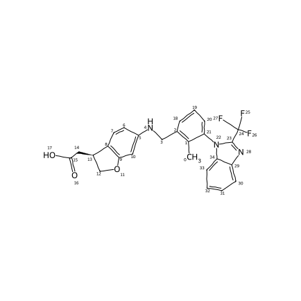 Cc1c(CNc2ccc3c(c2)OC[C@H]3CC(=O)O)cccc1-n1c(C(F)(F)F)nc2ccccc21